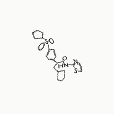 O=C(Nc1nccs1)C(CC1CCCC1)c1ccc(S(=O)(=O)C2CCCC2)cc1